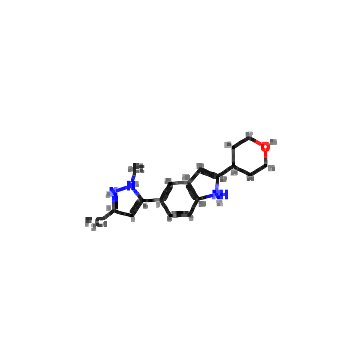 CCn1nc(C(F)(F)F)cc1-c1ccc2[nH]c(C3CCOCC3)cc2c1